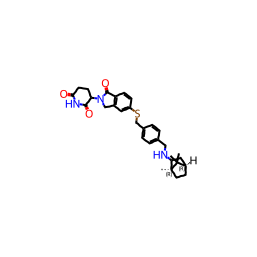 CC1(C)[C@@H]2CC[C@@]1(C)C(NCc1ccc(CSc3ccc4c(c3)CN(C3CCC(=O)NC3=O)C4=O)cc1)C2